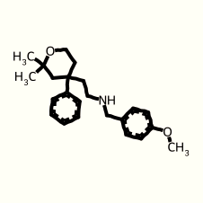 COc1ccc(CNCCC2(c3ccccc3)CCOC(C)(C)C2)cc1